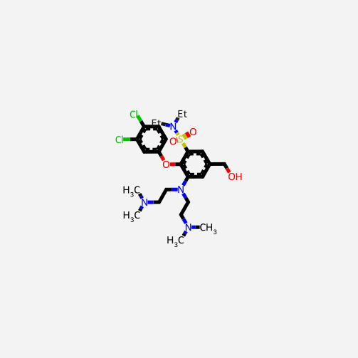 CCN(CC)S(=O)(=O)c1cc(CO)cc(N(CCN(C)C)CCN(C)C)c1Oc1ccc(Cl)c(Cl)c1